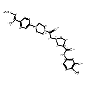 CO/N=C(\C)c1ccc(N2CCN(C(=O)CN3CCC(C(=O)Nc4ccc(O)c(Cl)c4)C3)CC2)cc1